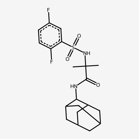 CC(C)(NS(=O)(=O)c1cc(F)ccc1F)C(=O)NC1C2CC3CC(C2)CC1C3